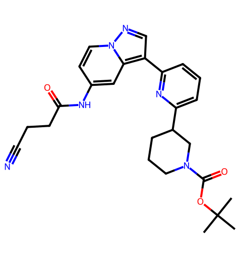 CC(C)(C)OC(=O)N1CCCC(c2cccc(-c3cnn4ccc(NC(=O)CCC#N)cc34)n2)C1